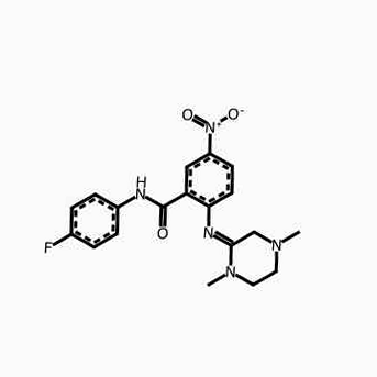 CN1CCN(C)/C(=N/c2ccc([N+](=O)[O-])cc2C(=O)Nc2ccc(F)cc2)C1